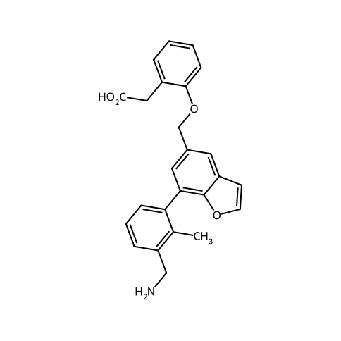 Cc1c(CN)cccc1-c1cc(COc2ccccc2CC(=O)O)cc2ccoc12